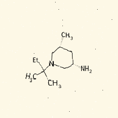 CCC(C)(C)N1C[C@H](C)C[C@H](N)C1